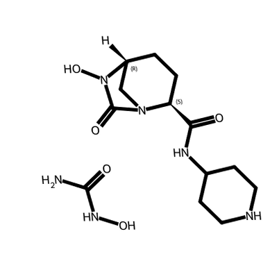 NC(=O)NO.O=C(NC1CCNCC1)[C@@H]1CC[C@@H]2CN1C(=O)N2O